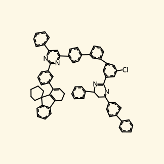 Clc1cc(C2=NC(c3ccccc3)CC(c3ccc(-c4ccccc4)cc3)=N2)cc(-c2cccc(-c3ccc(-c4cc(-c5ccccc5)nc(-c5cccc(C6=CCCC7=C6C6(CCCCC6)c6ccccc67)c5)n4)cc3)c2)c1